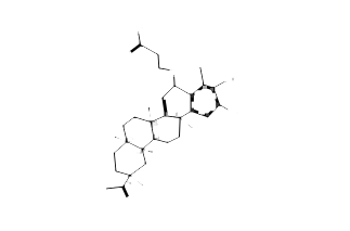 CC(=O)[C@]1(C)CC[C@]2(C)CC[C@]3(C)C4=CC(SCCC(=O)O)c5c(cc(O)c(O)c5C)[C@]4(C)CC[C@@]3(C)[C@@H]2C1